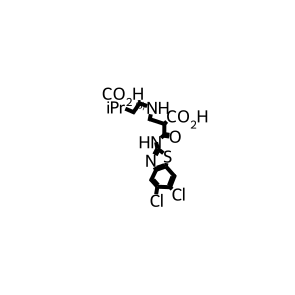 CC(C)C[C@H](NCC(C(=O)O)C(=O)Nc1nc2cc(Cl)c(Cl)cc2s1)C(=O)O